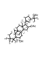 CC(=O)O[C@H]1C[C@@]2(C)[C@@H]3C[C@H](O)[C@H]4C(C)(C)C(F)(F)CC[C@@]45C[C@@]35CC[C@]2(C)[C@H]1[C@@]1(C)CC[C@@H](C(C)(C)OC(C)=O)O1